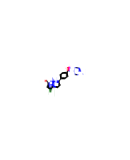 O=Cc1cc(Cl)c2ccc(-c3ccc(C(=O)N4CCNCC4)cc3)nn12